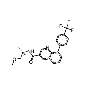 COC[C@H](C)NC(=O)c1cnc2c(-c3ccc(C(F)(F)F)cc3)cccc2c1